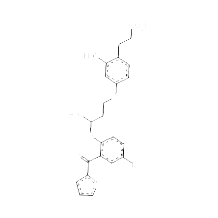 CCc1ccc(OC(C)CCOc2ccc(CCC(=O)O)c(C)c2)c(C(=O)c2cccs2)c1